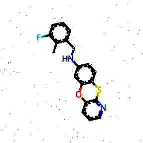 Cc1c(F)cccc1CNc1ccc2c(c1)Oc1cccnc1S2